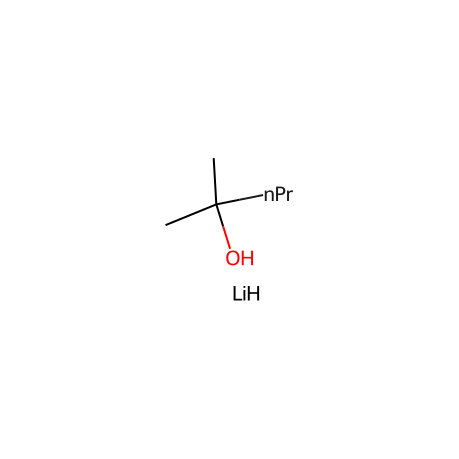 CCCC(C)(C)O.[LiH]